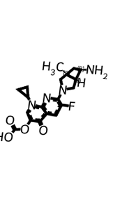 C[C@]12C[C@@H](N)[C@@H]1CN(c1nc3c(cc1F)c(=O)c(OC(=O)O)cn3C1CC1)C2